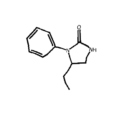 CCC1CNC(=O)N1c1ccccc1